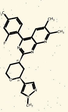 Cc1ccc(-c2nc([C@@H]3CCO[C@H](c4cnn(C)c4)C3)nc3nc(C)c(C)cc23)c(F)c1